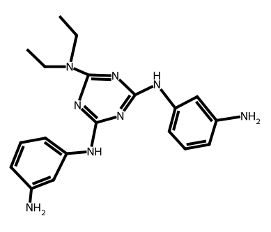 CCN(CC)c1nc(Nc2cccc(N)c2)nc(Nc2cccc(N)c2)n1